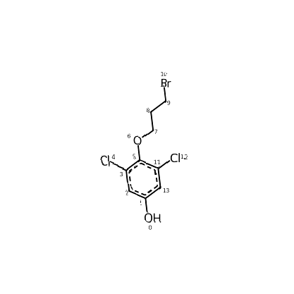 Oc1cc(Cl)c(OCCCBr)c(Cl)c1